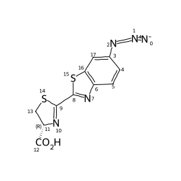 [N-]=[N+]=Nc1ccc2nc(C3=N[C@H](C(=O)O)CS3)sc2c1